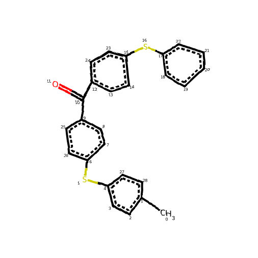 Cc1ccc(Sc2ccc(C(=O)c3ccc(Sc4ccccc4)cc3)cc2)cc1